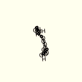 CN1CC(Nc2nc3ccccn3c(=O)c2Br)CC(c2ccc(OCCOCCOCCOc3cccc4c3C(=O)N(C3CCC(=O)NC3=O)C4=O)cc2)C1